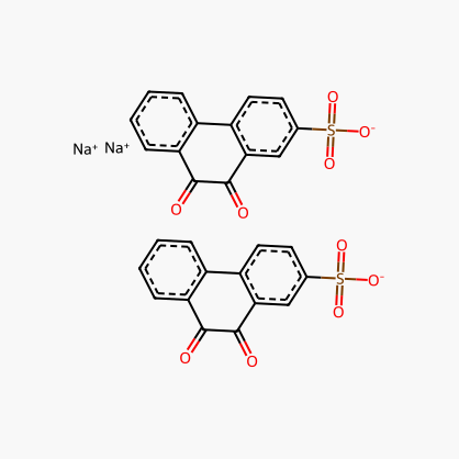 O=C1C(=O)c2cc(S(=O)(=O)[O-])ccc2-c2ccccc21.O=C1C(=O)c2cc(S(=O)(=O)[O-])ccc2-c2ccccc21.[Na+].[Na+]